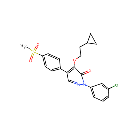 CS(=O)(=O)c1ccc(-c2cnn(-c3cccc(Cl)c3)c(=O)c2OCCC2CC2)cc1